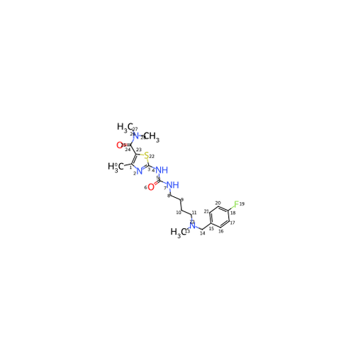 Cc1nc(NC(=O)NCCCCN(C)Cc2ccc(F)cc2)sc1C(=O)N(C)C